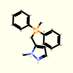 Cn1nccc1C[PH](C)(c1ccccc1)c1ccccc1